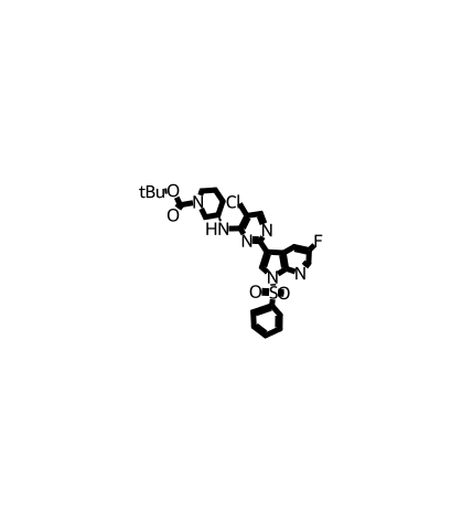 CC(C)(C)OC(=O)N1CCC[C@H](Nc2nc(-c3cn(S(=O)(=O)c4ccccc4)c4ncc(F)cc34)ncc2Cl)C1